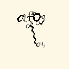 [2H][C@@](O)(c1ccc2c(c1)OCCO2)[C@@H](CN1CCCC1)NC(=O)CCCCCCC